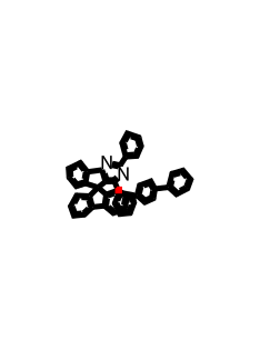 c1ccc(-c2ccc(-c3ccc4c(c3)C3(c5ccccc5-4)c4ccccc4-c4nc(-c5ccccc5)nc(-c5ccccc5)c43)cc2)cc1